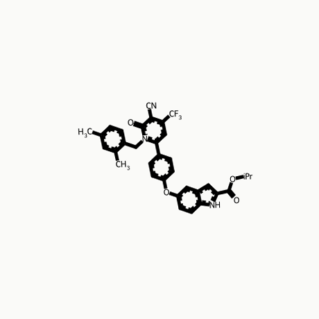 Cc1ccc(Cn2c(-c3ccc(Oc4ccc5[nH]c(C(=O)OC(C)C)cc5c4)cc3)cc(C(F)(F)F)c(C#N)c2=O)c(C)c1